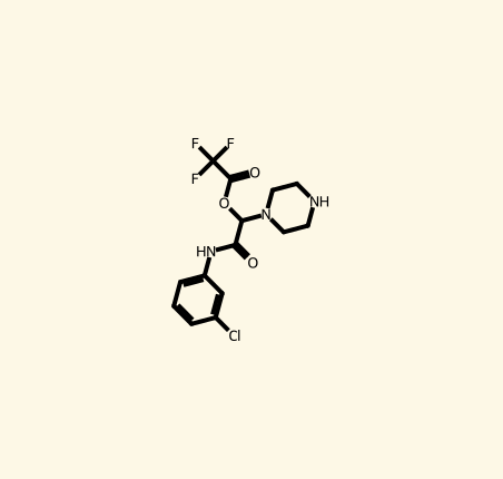 O=C(Nc1cccc(Cl)c1)C(OC(=O)C(F)(F)F)N1CCNCC1